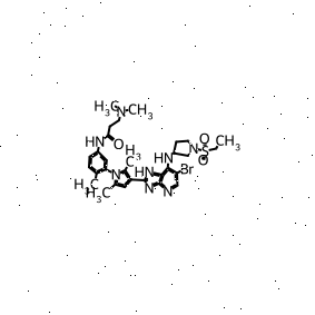 CCS(=O)(=O)N1CC[C@H](Nc2c(Br)cnc3nc(-c4cc(C)n(-c5cc(NC(=O)CCN(C)C)ccc5C)c4C)[nH]c23)C1